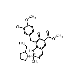 COC(=O)c1cc2c(n(Cc3ccc(OC)c(Cl)c3)c1=O)N[C@@](C)(N1CCCC1CO)N=C2